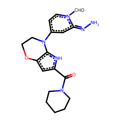 N/N=c1/cc(N2CCOc3cc(C(=O)N4CCCCC4)[nH]c32)ccn1C=O